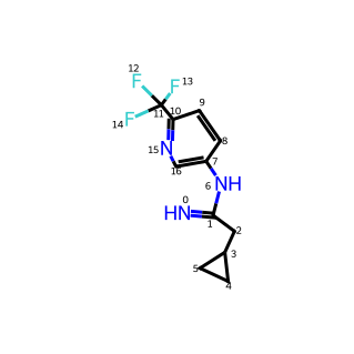 N=C(CC1CC1)Nc1ccc(C(F)(F)F)nc1